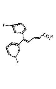 O=C(O)/C=C/C=C(c1cccc(F)c1)c1cccc(F)c1